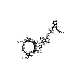 CNN(C)Cc1cc2ccccc2n1CCC(=O)NCCNC(=O)C(O)C(O)C(=O)NCCC(=O)N(C)C(C)C(=O)O[C@]1(OC(=O)[C@H](C)N(C)C(C)=O)CC(=O)N(C)c2cc(cc(OC)c2Cl)C/C(C)=C/C=C/C(OC)[C@@]2(O)C[C@H](OC(=O)N2)[C@@H](C)[C@@H]2O[C@]21C